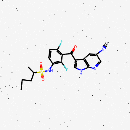 [C-]#[N+]c1cnc2[nH]cc(C(=O)c3c(F)ccc(NS(=O)(=O)C(C)CCC)c3F)c2c1